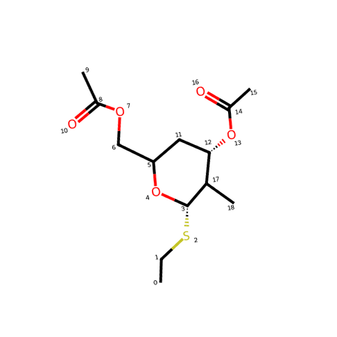 CCS[C@@H]1OC(COC(C)=O)C[C@H](OC(C)=O)C1C